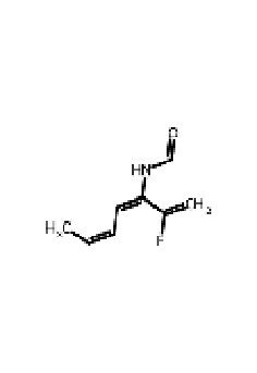 C=C(F)/C(=C\C=C/C)NC=O